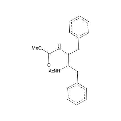 COC(=O)N[C](Cc1ccccc1)C(Cc1ccccc1)NC(C)=O